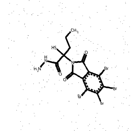 CCCC(S)(C(=O)NN)N1C(=O)c2c(Br)c(Br)c(Br)c(Br)c2C1=O